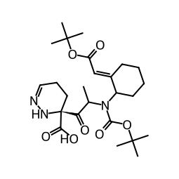 CC(C(=O)[C@]1(C(=O)O)CCC=NN1)N(C(=O)OC(C)(C)C)C1CCCCC1=CC(=O)OC(C)(C)C